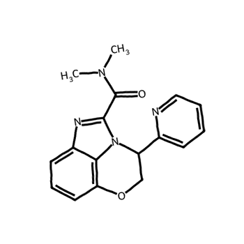 CN(C)C(=O)c1nc2cccc3c2n1C(c1ccccn1)CO3